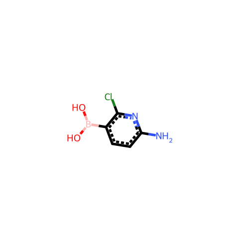 Nc1ccc(B(O)O)c(Cl)n1